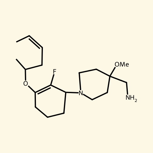 C/C=C\CC(C)OC1=C(F)C(N2CCC(CN)(OC)CC2)CCC1